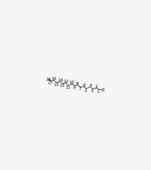 [CH2]CCCCCCCCCCCCCCCCC=C